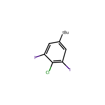 CC(C)(C)c1cc(I)c(Cl)c(I)c1